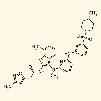 Cc1cc(CC(=O)Nc2nc3c(C)cccc3n2N(C)c2ccnc(Nc3cccc(S(=O)(=O)N4CCN(C)CC4)c3)n2)on1